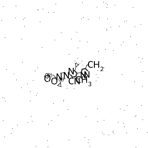 C=Cc1cnnc(-c2c(C3CC3)nc(N3CCN(C(=O)C[C@H]4CCO4)[C@H](C4CC4)C3)c(C#N)c2C)c1